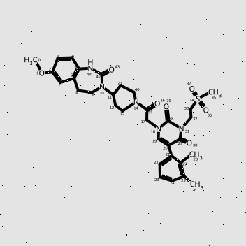 COc1ccc2c(c1)CCN(C1CCN(C(=O)Cn3cc(-c4cccc(C)c4C)c(=O)n(CCS(C)(=O)=O)c3=O)CC1)C(=O)N2